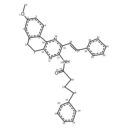 COc1ccc2c(c1)CCc1nc(NC(=O)CCCc3ccccc3)c(/C=C/c3ccccc3)nc1-2